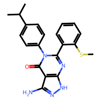 CSc1ccccc1-c1nc2[nH]nc(N)c2c(=O)n1-c1ccc(C(C)C)cc1